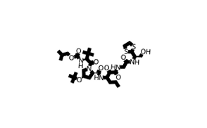 CCCC(NC(=O)[C@@H]1C[C@@H](OC(C)(C)C)CN1C(=O)[C@@H](NC(=O)OCC(C)C)C(C)(C)C)C(=O)C(=O)NCC(=O)N[C@H](CO)C1SCCS1